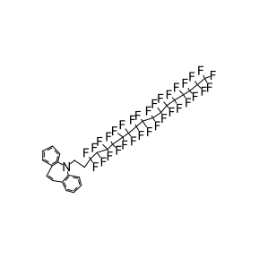 FC(F)(F)C(F)(F)C(F)(F)C(F)(F)C(F)(F)C(F)(F)C(F)(F)C(F)(F)C(F)(F)C(F)(F)C(F)(F)C(F)(F)C(F)(F)C(F)(F)C(F)(F)C(F)(F)CCN1c2ccccc2C=Cc2ccccc21